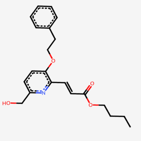 CCCCOC(=O)C=Cc1nc(CO)ccc1OCCc1ccccc1